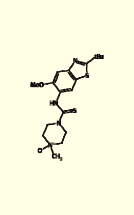 COc1cc2nc(C(C)(C)C)sc2cc1NC(=S)N1CC[N+](C)([O-])CC1